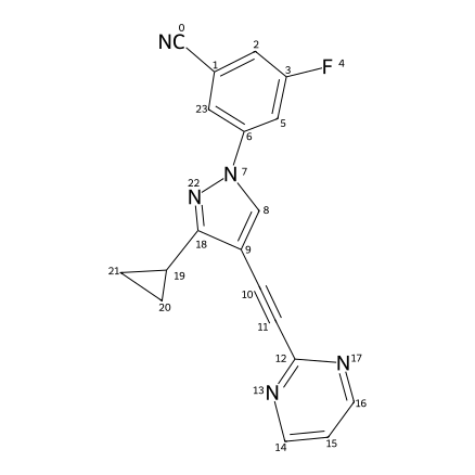 N#Cc1cc(F)cc(-n2cc(C#Cc3ncccn3)c(C3CC3)n2)c1